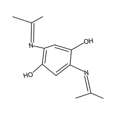 CC(C)=Nc1cc(O)c(N=C(C)C)cc1O